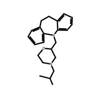 CC(C)CN1CCOC(CN2c3ccccc3CCc3ccccc32)C1